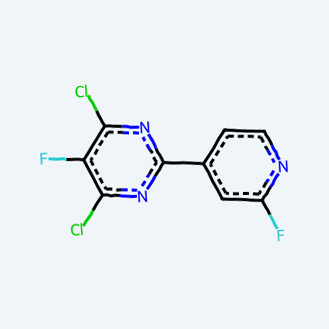 Fc1cc(-c2nc(Cl)c(F)c(Cl)n2)ccn1